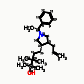 C=CC[C@@H]1CN([C@H](C)c2ccccc2)C[C@H]1CCC(C)(C)[Si](C)(C)O